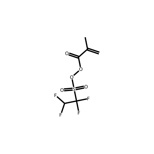 C=C(C)C(=O)OOS(=O)(=O)C(F)(F)C(F)F